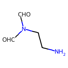 NCCN(C=O)C=O